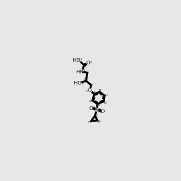 O=C(O)NCC(O)COc1cccc(S(=O)(=O)C2CC2)c1